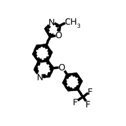 Cc1ncc(-c2ccc3cncc(Oc4ccc(C(F)(F)F)cc4)c3c2)o1